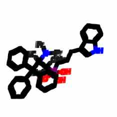 COC(OC)(C(C#N)(N(C(C)C)C(C)C)C(c1ccccc1)(c1ccccc1)c1ccccc1)P(O)(O)(O)CCCc1c[nH]c2ccccc12